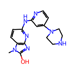 Cn1c(O)nc2nc(Nc3cc(N4CCNCC4)ccn3)ccc21